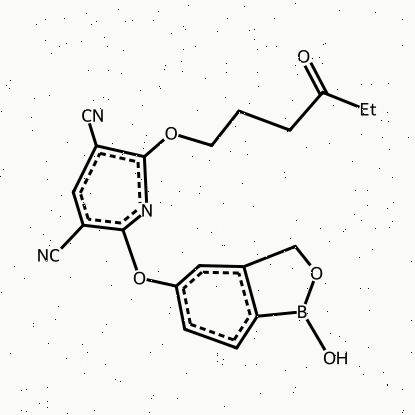 CCC(=O)CCCOc1nc(Oc2ccc3c(c2)COB3O)c(C#N)cc1C#N